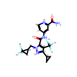 NC(=O)c1cc(NC(=O)c2c(C(F)(F)F)c(C3CC3)nn2CC2CC2(F)F)ccn1